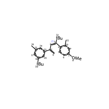 C=C(/C=C(\c1ccc(OC)cc1C)C(C)(C)C)c1cc(C)cc(C(C)(C)C)c1